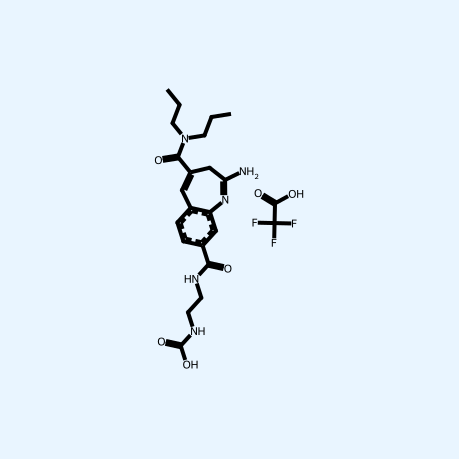 CCCN(CCC)C(=O)C1=Cc2ccc(C(=O)NCCNC(=O)O)cc2N=C(N)C1.O=C(O)C(F)(F)F